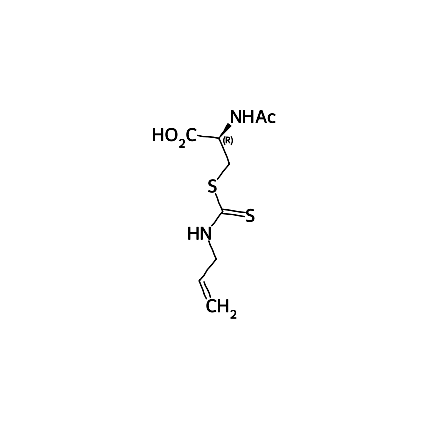 C=CCNC(=S)SC[C@H](NC(C)=O)C(=O)O